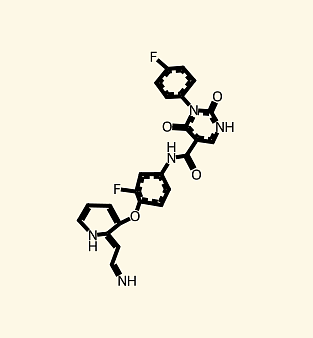 N=C/C=C1\NC=CC=C1Oc1ccc(NC(=O)c2c[nH]c(=O)n(-c3ccc(F)cc3)c2=O)cc1F